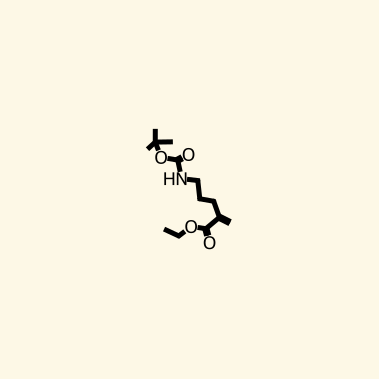 C=C(CCCNC(=O)OC(C)(C)C)C(=O)OCC